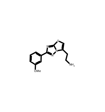 COc1cccc(-c2nc3scc(CCN)n3n2)c1